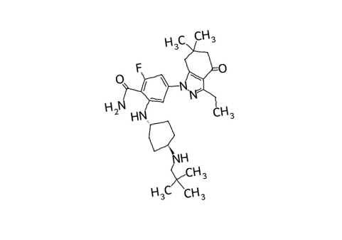 CCc1nn(-c2cc(F)c(C(N)=O)c(N[C@H]3CC[C@H](NCC(C)(C)C)CC3)c2)c2c1C(=O)CC(C)(C)C2